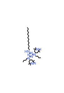 CCCCCCCCCCCCCCNc1nc(N(CCCC)C2CC(C)(C)NC(C)(C)C2)nc(N(CCCC)C2CC(C)(C)NC(C)(C)C2)n1